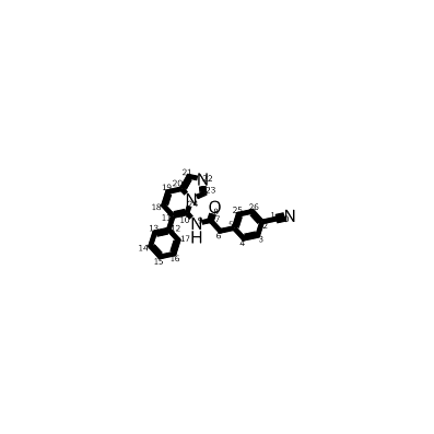 N#Cc1ccc(CC(=O)Nc2c(-c3ccccc3)ccc3cncn23)cc1